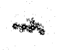 C=CC(=O)Nc1cc2c(Nc3ccc(OCc4ccccn4)c(Cl)c3)ncnc2cc1N(C)CCN1CCOCC1